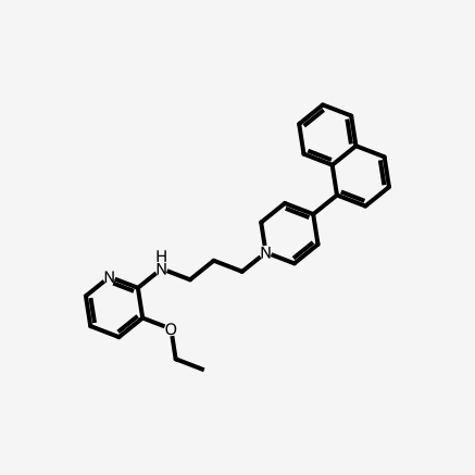 CCOc1cccnc1NCCCN1C=CC(c2cccc3ccccc23)=CC1